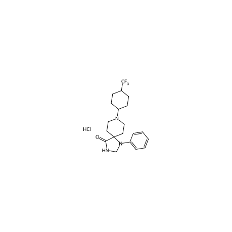 Cl.O=C1NCN(c2ccccc2)C12CCN(C1CCC(C(F)(F)F)CC1)CC2